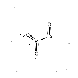 [O]=[Ta][Ru](=[O])=[O]